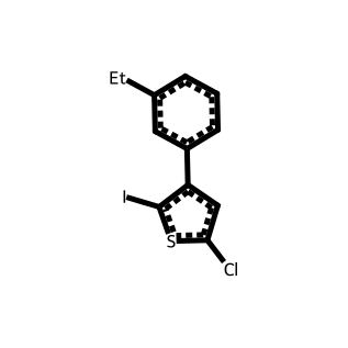 CCc1cccc(-c2cc(Cl)sc2I)c1